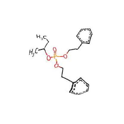 CCC(C)OP(=O)(OCCc1ccccc1)OCCc1ccccc1